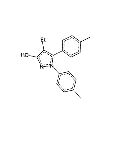 CCc1c(O)nn(-c2ccc(C)cc2)c1-c1ccc(C)cc1